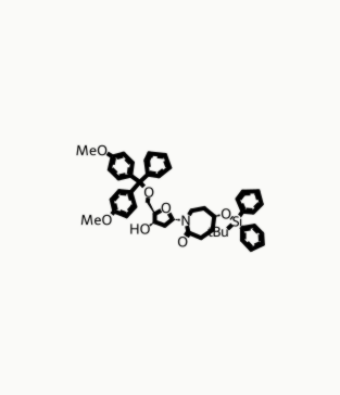 COc1ccc(C(OC[C@H]2O[C@H](N3CC[C@H](O[Si](c4ccccc4)(c4ccccc4)C(C)(C)C)CCC3=O)C[C@@H]2O)(c2ccccc2)c2ccc(OC)cc2)cc1